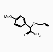 C=CCOC(C(N)=O)c1ccc(OC)cc1